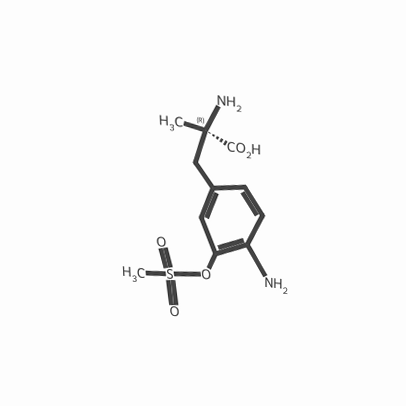 C[C@@](N)(Cc1ccc(N)c(OS(C)(=O)=O)c1)C(=O)O